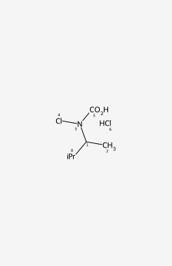 CC(C)C(C)N(Cl)C(=O)O.Cl